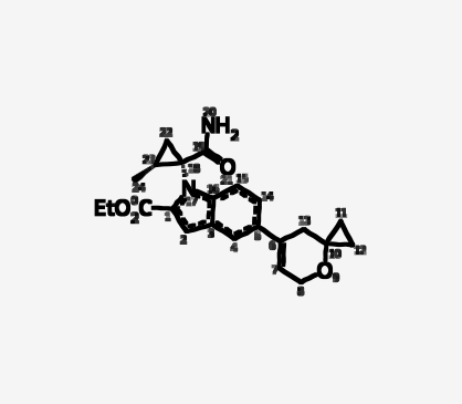 CCOC(=O)c1cc2cc(C3=CCOC4(CC4)C3)ccc2n1[C@@]1(C(N)=O)C[C@@H]1C